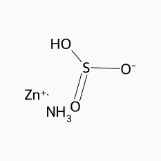 N.O=S([O-])O.[Zn+]